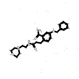 NC(=O)c1cc(OCc2ccccc2)ccc1C[CH]C(=O)NCCN1CCOCC1